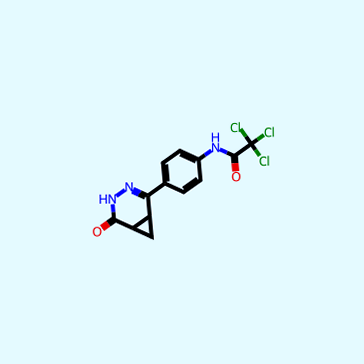 O=C1NN=C(c2ccc(NC(=O)C(Cl)(Cl)Cl)cc2)C2CC12